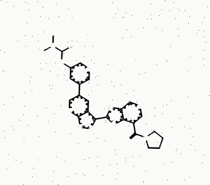 CN(C)C(O)Nc1cncc(-c2cnc3[nH]nc(-c4nc5c(C(=O)N6CCCC6)cncc5[nH]4)c3c2)c1